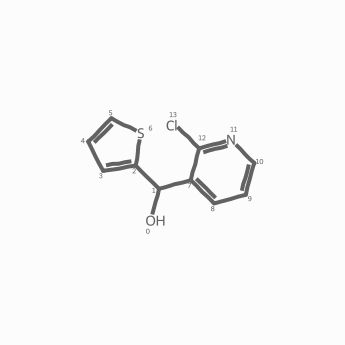 OC(c1cccs1)c1cccnc1Cl